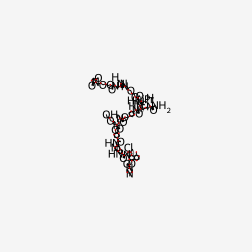 Cc1cccc2c(OC(=O)N3CCN(C)CC3)cc3c(c12)[C@H](CCl)CN3C(=O)c1cc2cc(NC(=O)c3ccc(OC(=O)N(CCOCCO)CCN(C)C(=O)OCc4ccc(NC(=O)[C@H](CCCNC(N)=O)NC(=O)[C@@H](NC(=O)OCCOCCn5cc(CNC(=O)OCCOCCN6C(=O)C=CC6=O)nn5)C(C)C)cc4)cc3)ncc2[nH]1